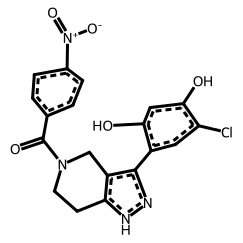 O=C(c1ccc([N+](=O)[O-])cc1)N1CCc2[nH]nc(-c3cc(Cl)c(O)cc3O)c2C1